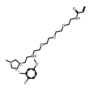 C=CC(=O)NCCOCCOCCOCCNCC[C@@H]1CN(C)C[C@H]1Cc1cc(OC)ccc1F